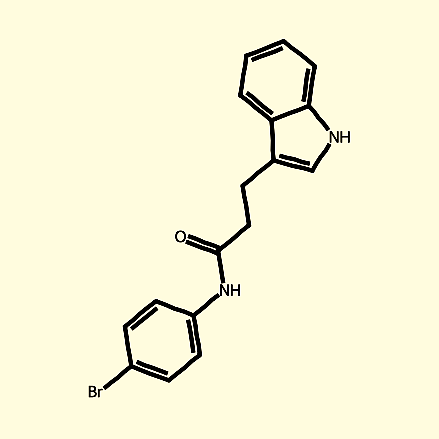 O=C(CCc1c[nH]c2ccccc12)Nc1ccc(Br)cc1